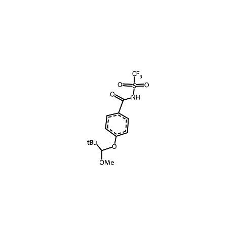 COC(Oc1ccc(C(=O)NS(=O)(=O)C(F)(F)F)cc1)C(C)(C)C